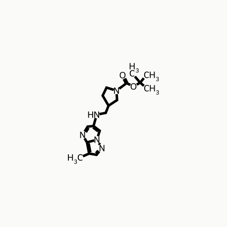 Cc1cnn2cc(NCC3CCN(C(=O)OC(C)(C)C)C3)cnc12